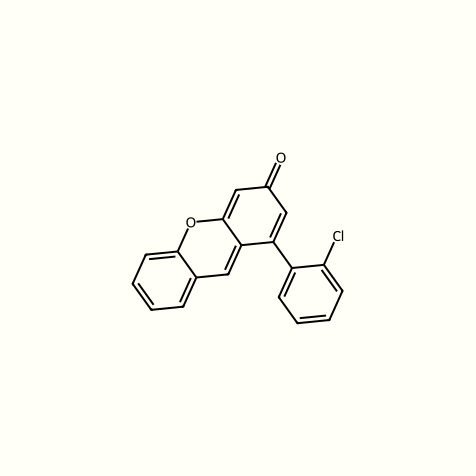 O=c1cc2oc3ccccc3cc-2c(-c2ccccc2Cl)c1